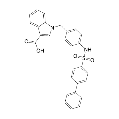 O=C(O)c1cn(Cc2ccc(NS(=O)(=O)c3ccc(-c4ccccc4)cc3)cc2)c2ccccc12